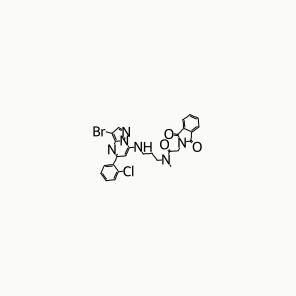 CN(CCCNc1cc(-c2ccccc2Cl)nc2c(Br)cnn12)C(=O)CN1C(=O)c2ccccc2C1=O